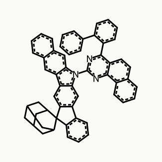 c1ccc(-c2ccccc2-c2nc(-n3c4cc5c(cc4c4cc6ccccc6cc43)C3(c4ccccc4-5)C4CC5CC(C4)CC3C5)nc3c2ccc2ccccc23)cc1